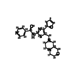 O=C(Nc1nc(-c2ccco2)c(CN2CCN3CCOCC3C2)s1)c1ccncc1